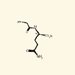 CC(C)CC(=O)N[C@H](CCC(N)=O)C(=O)O